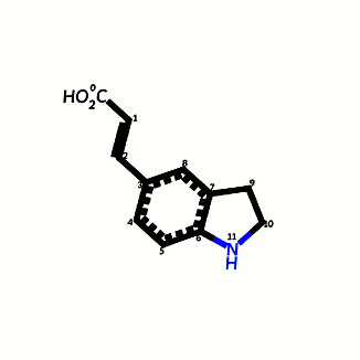 O=C(O)C=Cc1ccc2c(c1)CCN2